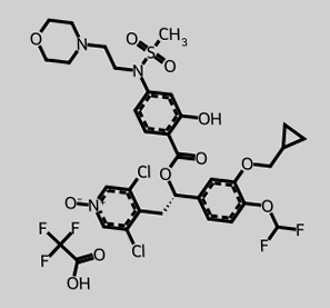 CS(=O)(=O)N(CCN1CCOCC1)c1ccc(C(=O)O[C@@H](Cc2c(Cl)c[n+]([O-])cc2Cl)c2ccc(OC(F)F)c(OCC3CC3)c2)c(O)c1.O=C(O)C(F)(F)F